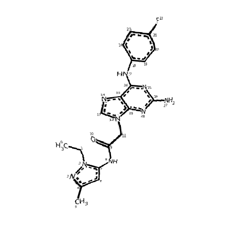 CCn1nc(C)cc1NC(=O)Cn1cnc2c(Nc3ccc(F)cc3)nc(N)nc21